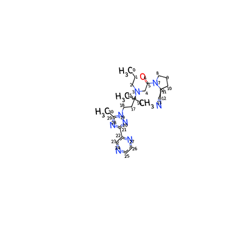 CCCN(CC(=O)N1CCC[C@H]1C#N)C(C)(C)CCn1nc(-c2cnccn2)nc1C